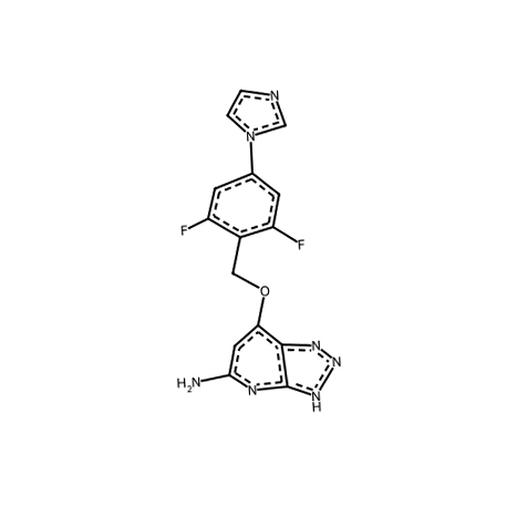 Nc1cc(OCc2c(F)cc(-n3ccnc3)cc2F)c2nn[nH]c2n1